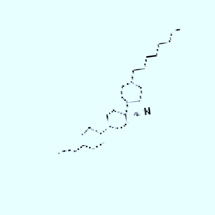 CCCCCCCCC1CCC([C@]2(C#N)CC[C@@H](C3CCC(CCC)CC3)CC2)CC1